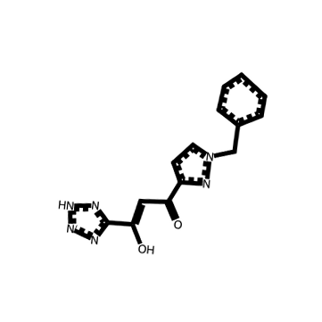 O=C(C=C(O)c1nn[nH]n1)c1ccn(Cc2ccccc2)n1